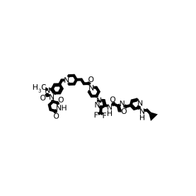 Cn1c(=O)n(C2CCC(=O)NC2=O)c2ccc(CN3CCC(CCC(=O)N4CCC(n5cc(NC(=O)c6coc(-c7ccnc(NCC8CC8)c7)n6)c(C(F)F)n5)CC4)CC3)cc21